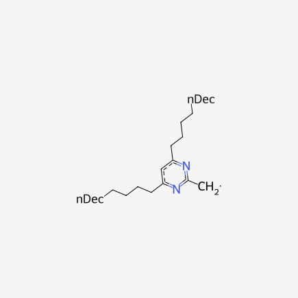 [CH2]c1nc(CCCCCCCCCCCCCC)cc(CCCCCCCCCCCCCC)n1